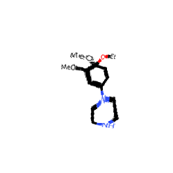 CCOC1(OC)C=CC(N2CCNCC2)=CC1OC